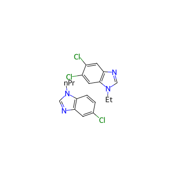 CCCn1cnc2cc(Cl)ccc21.CCn1cnc2cc(Cl)c(Cl)cc21